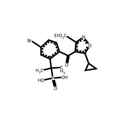 CCOC(=O)c1noc(C2CC2)c1C(=O)c1ccc(Br)cc1C(C)(C)P(=O)(O)O